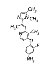 C/C(=C\c1nccc(Oc2ccc(N)cc2F)c1C)c1ncc(C)n1C